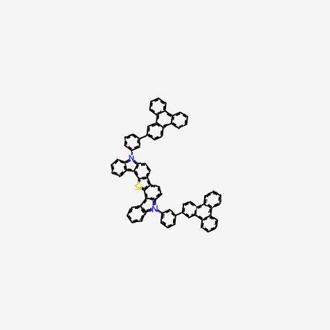 c1cc(-c2ccc3c4ccccc4c4ccccc4c3c2)cc(-n2c3ccccc3c3c4sc5c(ccc6c5c5ccccc5n6-c5cccc(-c6ccc7c8ccccc8c8ccccc8c7c6)c5)c4ccc32)c1